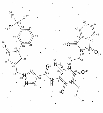 CCCn1c(=O)c(NC(=O)c2cnn(CC3CC(=O)N(c4cccc(C(F)(F)F)c4)C3)c2)c(N)n(CCN2C(=O)c3ccccc3C2=O)c1=O